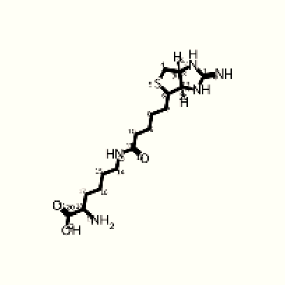 N=C1N[C@H]2CSC(CCCCC(=O)NCCCCC(N)C(=O)O)[C@H]2N1